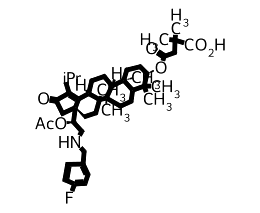 CC(=O)O[C@H](CNCc1ccc(F)cc1)[C@@]12CC[C@]3(C)[C@H](CC[C@@H]4[C@@]5(C)CC[C@H](OC(=O)CC(C)(C)C(=O)O)C(C)(C)C5CC[C@]43C)C1=C(C(C)C)C(=O)C2